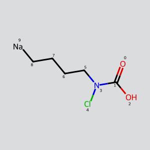 O=C(O)N(Cl)CCC[CH2][Na]